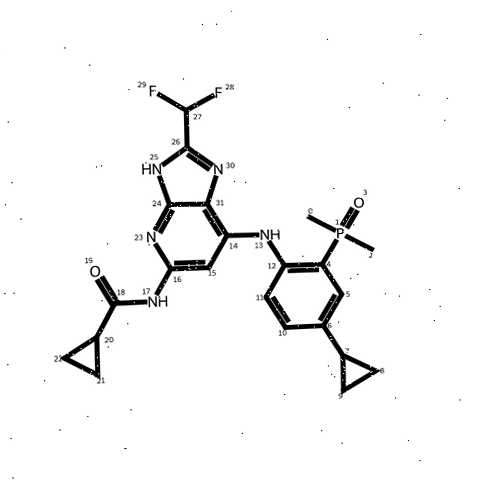 CP(C)(=O)c1cc(C2CC2)ccc1Nc1cc(NC(=O)C2CC2)nc2[nH]c(C(F)F)nc12